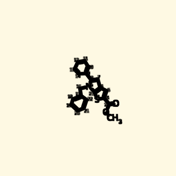 COC(=O)c1cc2cc(-c3ccccc3)n(Cc3ccccc3)c2s1